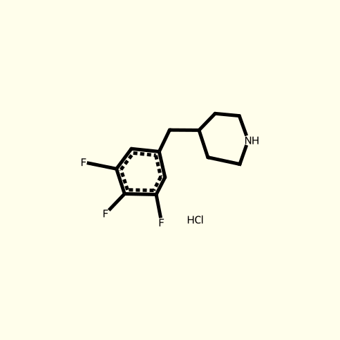 Cl.Fc1cc(CC2CCNCC2)cc(F)c1F